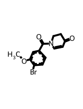 COc1cc(C(=O)N2C=CC(=O)CC2)ccc1Br